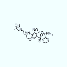 CC1(O)CN(CCC2COc3cc(S(=O)(=O)c4ccccc4C(N)=O)cc([N+](=O)[O-])c3N2)C1